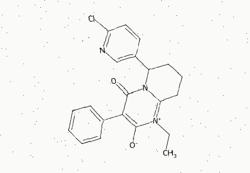 CC[n+]1c([O-])c(-c2ccccc2)c(=O)n2c1CCCC2c1ccc(Cl)nc1